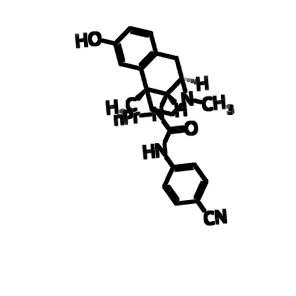 CCCN(C(=O)Nc1ccc(C#N)cc1)[C@H]1[C@H]2Cc3ccc(O)cc3[C@@]1(C)CCN2C